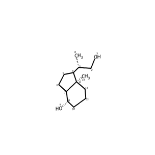 C[C@H](CO)C1CCC2[C@@H](O)CCC[C@]12C